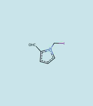 O=Cc1cccn1CI